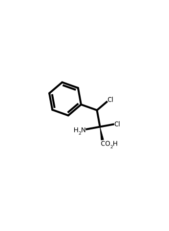 N[C@](Cl)(C(=O)O)C(Cl)c1ccccc1